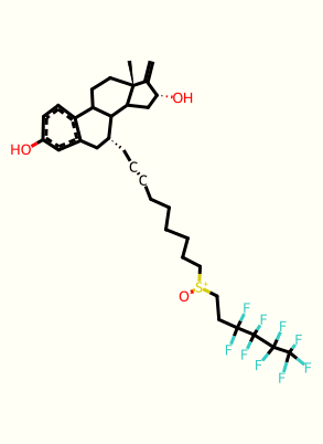 C=C1[C@H](O)CC2C3C(CC[C@]12C)c1ccc(O)cc1C[C@H]3CCCCCCCCC[S+]([O-])CCC(F)(F)C(F)(F)C(F)(F)C(F)(F)F